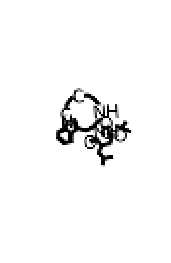 CC(C)CC(CC(=O)OC(C)(C)C)C(=O)N[C@H]1Cc2cn(c3ccccc23)CCCCCCCNC1=O